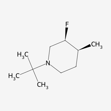 C[C@H]1CCN(C(C)(C)C)C[C@H]1F